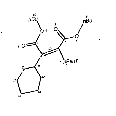 CCCCC/C(C(=O)OCCCC)=C(/C(=O)OCCCC)C1CCCCC1